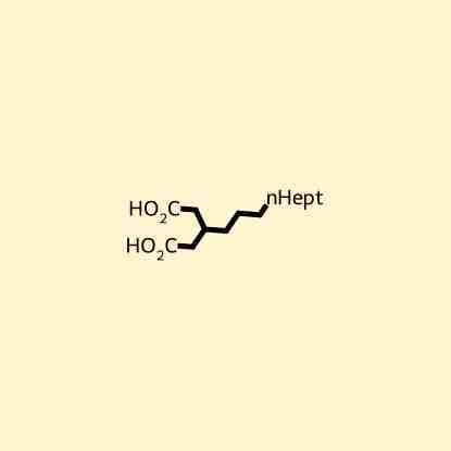 CCCCCCCCCCC(CC(=O)O)CC(=O)O